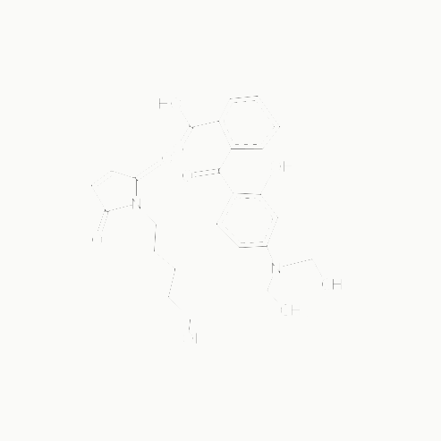 CCN(CC)c1ccc(C(=O)c2ccccc2C(=O)O)c(O)c1.O=C1C=CC(=O)N1CCCCCO